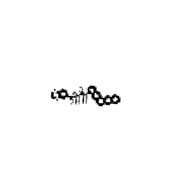 O=C(NSC(=O)c1ccc2nccnc2c1)Nc1cccc2cc3c(ccc4cc5ccccc5cc43)cc12